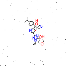 CC(C)c1ccc([C@](O)(c2cncc(-c3nc(C4(O)CCOCC4)n(C4CC4)n3)c2)C2(C)CN(C)C2)cc1